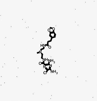 CN(CCNC(=O)CCc1ccc2c(c1)OCO2)CCNC(=O)c1nc(Cl)c(N)nc1N